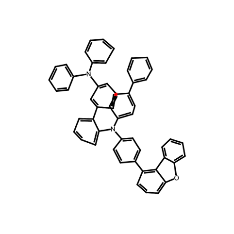 c1ccc(-c2ccc(N(c3ccc(-c4cccc5oc6ccccc6c45)cc3)c3ccccc3-c3cccc(N(c4ccccc4)c4ccccc4)c3)cc2)cc1